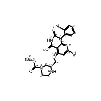 CC(C)c1ccccc1-n1c(=O)[nH]c(=O)c2c(OC[C@@H]3CN(C(=O)OC(C)(C)C)CCN3)cc(Cl)nc21